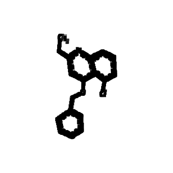 CCc1cc(OCc2ccccc2)c2c(Cl)cccc2n1